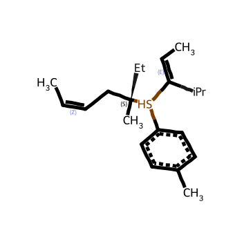 C/C=C\C[C@](C)(CC)[SH](/C(=C/C)C(C)C)c1ccc(C)cc1